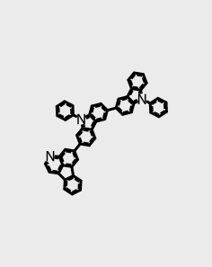 c1ccc(-n2c3ccccc3c3cc(-c4ccc5c(c4)c4ccc(-c6cc7c8c(ccnc8c6)-c6ccccc6-7)cc4n5-c4ccccc4)ccc32)cc1